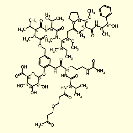 CC[C@H](C)[C@@H]([C@@H](CC(=O)N1CCC[C@H]1[C@H](OC)[C@@H](C)C(=O)N[C@H](C)[C@@H](O)c1ccccc1)OC)N(C)C(=O)[C@@H](NC(=O)[C@H](C(C)C)N(C)C(=O)OCc1ccc(O[C@@H]2O[C@H](C(=O)O)[C@@H](O)[C@H](O)[C@H]2O)c(NC(=O)[C@H](CCCNC(N)=O)NC(=O)[C@@H](NC(=O)CCOCCC(C)=O)C(C)C)c1)C(C)C